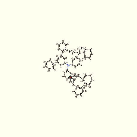 CC1(C)c2ccccc2-c2ccc(N(c3cc(-c4ccccc4)cc(-c4ccccc4)c3)c3cccc(-c4c5cccc4-c4ccccc4-c4ccccc4-5)c3)cc21